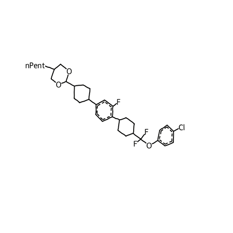 CCCCCC1COC(C2CCC(c3ccc(C4CCC(C(F)(F)Oc5ccc(Cl)cc5)CC4)c(F)c3)CC2)OC1